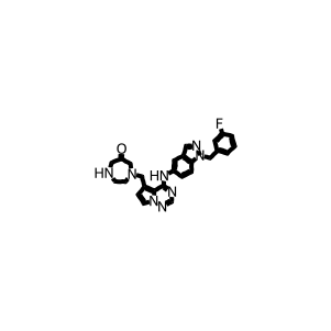 O=C1CNCCN(Cc2ccn3ncnc(Nc4ccc5c(cnn5Cc5cccc(F)c5)c4)c23)C1